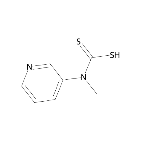 CN(C(=S)S)c1cccnc1